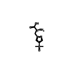 CP(C)(=O)c1cnn(C[C@H](N)C(=O)O)c1